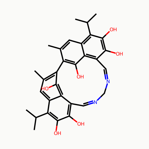 Cc1cc2c(C(C)C)c(O)c(O)c3c2c(O)c1-c1c(C)cc2c(C(C)C)c(O)c(O)c(c2c1O)C=NCN=C3